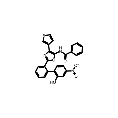 O=C(Nc1oc(-c2ccccc2-c2ccc([N+](=O)[O-])cc2O)nc1-c1ccsc1)c1ccccc1